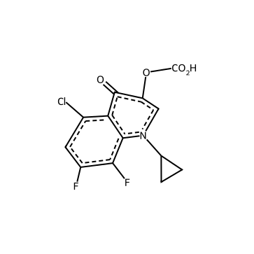 O=C(O)Oc1cn(C2CC2)c2c(F)c(F)cc(Cl)c2c1=O